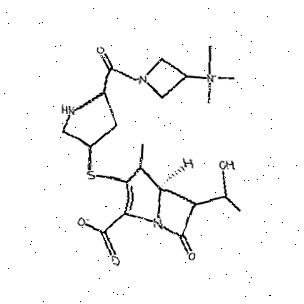 CC(O)C1C(=O)N2C(C(=O)[O-])=C(SC3CNC(C(=O)N4CC([N+](C)(C)C)C4)C3)C(C)[C@@H]12